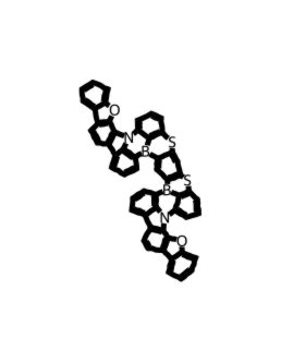 c1cc2c3c(c1)-n1c4c(cccc4c4ccc5c6ccccc6oc5c41)B3c1cc3c(cc1S2)Sc1cccc2c1B3c1cccc3c4ccc5c6ccccc6oc5c4n-2c13